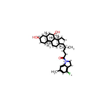 Cc1cc(F)c2c(c1)N(C(=O)CC[C@@H](C)[C@H]1CC[C@H]3[C@@H]4[C@H](O)C[C@@H]5C[C@H](O)CC[C@]5(C)[C@H]4CC[C@]13C)CC2